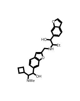 CCC(NCc1cc2ccc(C(O)C(NC)C3CCC3)cc2o1)C(O)c1ccc2ccoc2c1